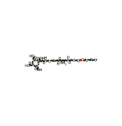 COCCOCCOCCOCCOCCOCCC(=O)NCCCCC(N)C(=O)NCCOCCOCCNC(=O)CCC(C(=O)O)N1CCN(CC(=O)O)CCN(CC(=O)O)CCN(CC(=O)O)CC1